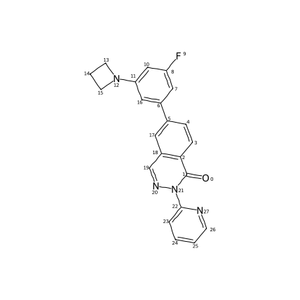 O=c1c2ccc(-c3cc(F)cc(N4CCC4)c3)cc2cnn1-c1ccccn1